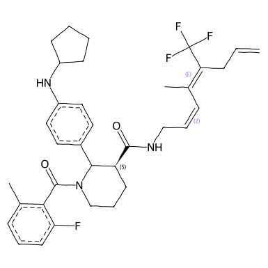 C=CC/C(=C(C)\C=C/CNC(=O)[C@H]1CCCN(C(=O)c2c(C)cccc2F)C1c1ccc(NC2CCCC2)cc1)C(F)(F)F